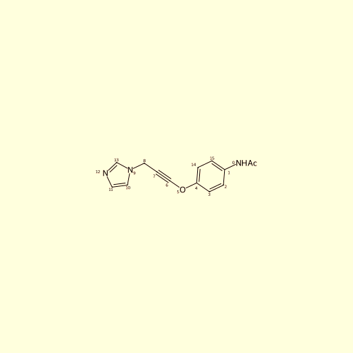 CC(=O)Nc1ccc(OC#CCn2ccnc2)cc1